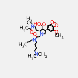 CCCCN(CCCCN(C)C)C(=O)CN1C[C@H](c2cc(OC)c3c(c2)OCO3)[C@@H](C(=O)O)[C@@H]1CCN(CC)C(C)=O